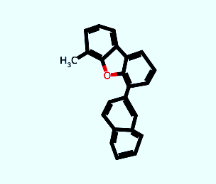 Cc1cccc2c1oc1c(-c3ccc4ccccc4c3)cccc12